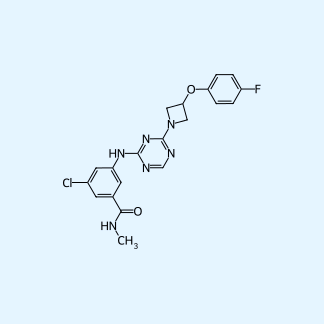 CNC(=O)c1cc(Cl)cc(Nc2ncnc(N3CC(Oc4ccc(F)cc4)C3)n2)c1